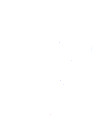 CCOC(=O)c1cn(C2CC2)c2c(cc(F)c3nc4c(nc32)=NC2=CC=CC(C)C=42)c1=O